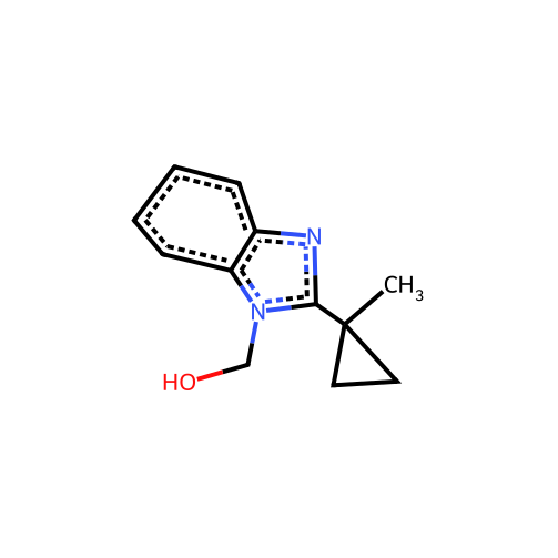 CC1(c2nc3ccccc3n2CO)CC1